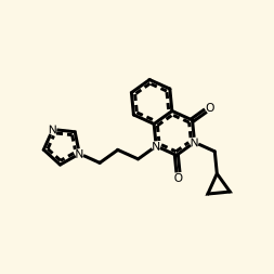 O=c1c2ccccc2n(CCCn2ccnc2)c(=O)n1CC1CC1